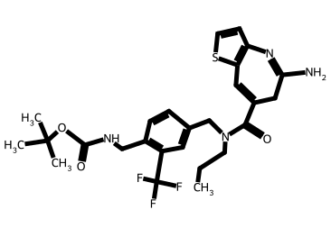 CCCN(Cc1ccc(CNC(=O)OC(C)(C)C)c(C(F)(F)F)c1)C(=O)C1=Cc2sccc2N=C(N)C1